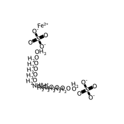 O.O.O.O.O.O.O.O.O.O.O.O.O=S(=O)([O-])[O-].O=S(=O)([O-])[O-].[Fe+2].[NH4+].[NH4+]